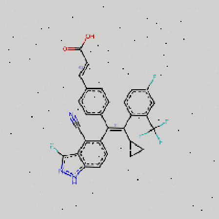 N#Cc1c(/C(=C(/c2ccc(F)cc2C(F)(F)F)C2CC2)c2ccc(/C=C/C(=O)O)cc2)ccc2[nH]nc(F)c12